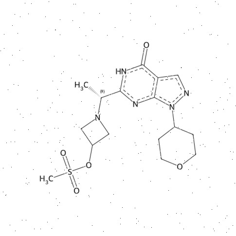 C[C@H](c1nc2c(cnn2C2CCOCC2)c(=O)[nH]1)N1CC(OS(C)(=O)=O)C1